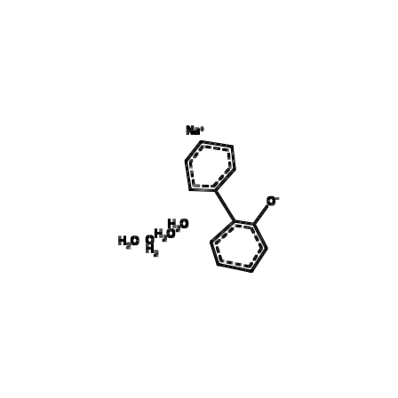 O.O.O.O.[Na+].[O-]c1ccccc1-c1ccccc1